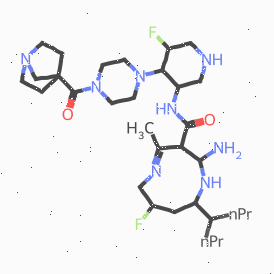 CCCC(CCC)C1CC(F)C/N=C(\C)C(C(=O)NC2CNCC(F)C2N2CCN(C(=O)C34CCN(CC3)C4)CC2)C(N)N1